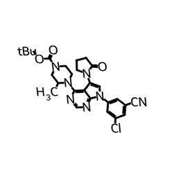 CC1CN(C(=O)OC(C)(C)C)CCN1c1ncnc2c1c(N1CCCC1=O)cn2-c1cc(Cl)cc(C#N)c1